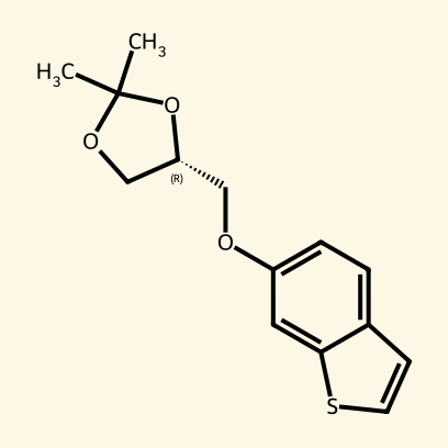 CC1(C)OC[C@@H](COc2ccc3ccsc3c2)O1